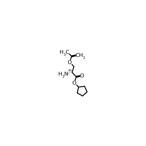 C=C(C)OC[C@@H](N)C(=O)OC1CCCC1